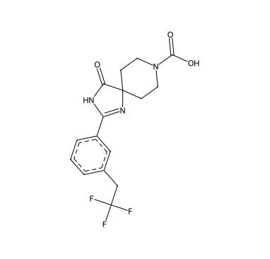 O=C(O)N1CCC2(CC1)N=C(c1cccc(CC(F)(F)F)c1)NC2=O